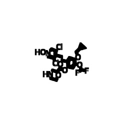 O=C(O[C@@H](CC1=C(Cl)CN(O)C=C1Cl)c1ccc(OC(F)F)c(OCC2CC2)c1)C1CNCCO1